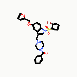 O=C(c1ccccc1)N1CCN(Cc2cn(S(=O)(=O)c3ccccc3Br)c3ccc(OCc4ccco4)cc23)CC1